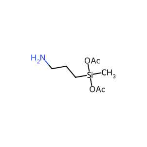 CC(=O)O[Si](C)(CCCN)OC(C)=O